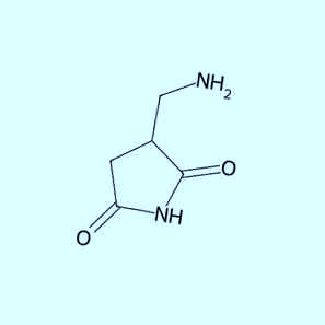 NCC1CC(=O)NC1=O